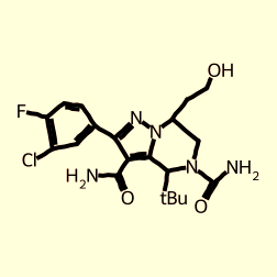 CC(C)(C)C1c2c(C(N)=O)c(-c3ccc(F)c(Cl)c3)nn2C(CCO)CN1C(N)=O